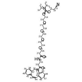 CC(C)N(C(C)C)P(OCCC#N)OCCOCCOCCOCCOCCC(=O)NCCC(=O)N1Cc2ccccc2C#Cc2ccccc21